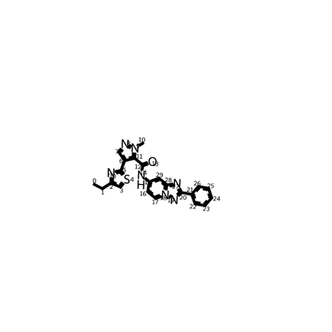 CCc1csc(-c2cnn(C)c2C(=O)Nc2ccn3nc(-c4ccccc4)nc3c2)n1